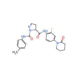 Cc1ccc(NC(=O)N2N=CCC2C(=O)Nc2ccc(N3CCCCC3=O)cc2F)cc1